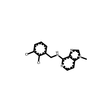 Cn1cnc2c(NCc3cccc(Cl)c3Cl)nccc21